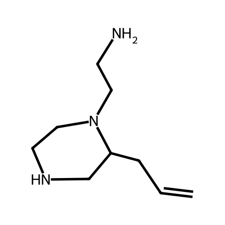 C=CCC1CNCCN1CCN